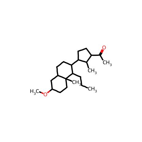 CCCC1C(C2CCC(C(C)=O)C2C)CCC2CC(OC)CCC21C